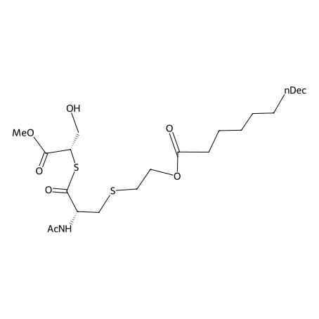 CCCCCCCCCCCCCCCC(=O)OCCSC[C@H](NC(C)=O)C(=O)S[C@@H](CO)C(=O)OC